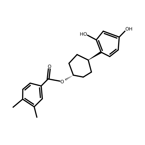 Cc1ccc(C(=O)O[C@H]2CC[C@H](c3ccc(O)cc3O)CC2)cc1C